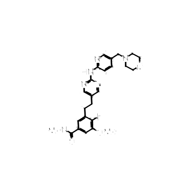 CNC(=O)c1cc(CCc2cnc(Nc3ccc(CN4CCOCC4)cn3)nc2)c(F)c(OC)c1